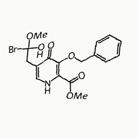 COC(=O)c1[nH]cc(CC(O)(Br)OC)c(=O)c1OCc1ccccc1